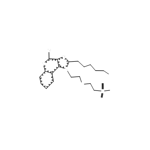 CCCCCCc1nc2c(N)nc3ccccc3c2n1CCOCCS(C)(=O)=O